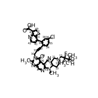 Cc1nc2cnc(N(C)C3CCN(CC(F)(F)C(C)(C)O)CC3)c(C#N)c2c(=O)n1CC#Cc1ccc(Cl)cc1-c1ccnc2c(C(=O)O)csc12